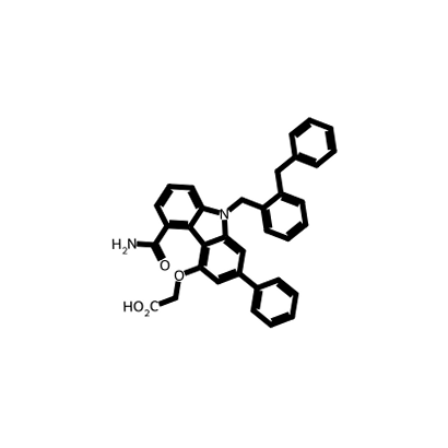 NC(=O)c1cccc2c1c1c(OCC(=O)O)cc(-c3ccccc3)cc1n2Cc1ccccc1Cc1ccccc1